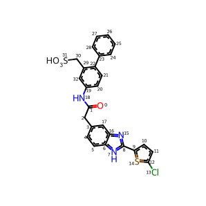 O=C(Cc1ccc2[nH]c(-c3ccc(Cl)s3)nc2c1)Nc1ccc(-c2ccccc2)c(CS(=O)(=O)O)c1